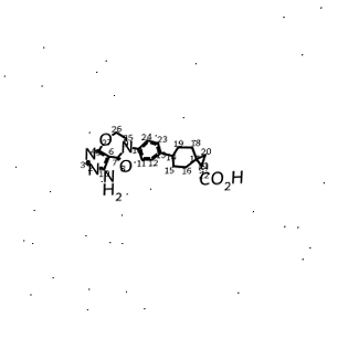 Nc1ncnc2c1C(=O)N(c1ccc(C3CCC4(CC3)C[C@@H]4C(=O)O)cc1)CCO2